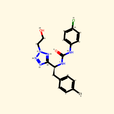 CCc1ccc(C[C@H](NC(=O)Nc2ccc(Cl)cc2)c2nnn(CCO)n2)cc1